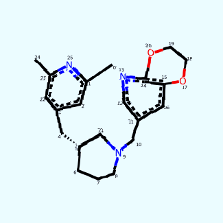 Cc1cc(C[C@H]2CCCN(Cc3cnc4c(c3)OCCO4)C2)cc(C)n1